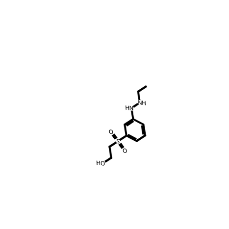 CCNNc1cccc(S(=O)(=O)CCO)c1